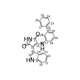 O=C1NC(=O)C(c2c[nH]c3ccccc23)=C1Nc1cccc(-c2ccccc2)c1